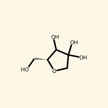 OC[C@H]1OCC(O)(O)C1O